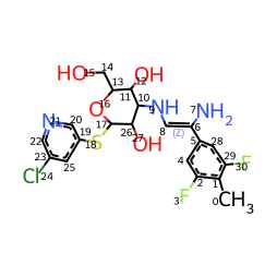 Cc1c(F)cc(/C(N)=C/NC2C(O)C(CO)OC(Sc3cncc(Cl)c3)C2O)cc1F